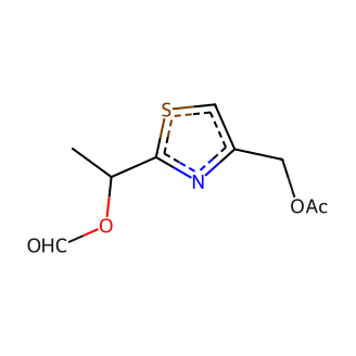 CC(=O)OCc1csc(C(C)OC=O)n1